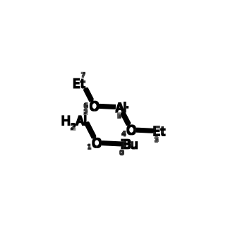 CCC(C)[O][AlH2].CC[O][Al][O]CC